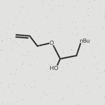 C=CCOC(O)CCCCC